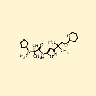 CN(C1CCCC1)C(C)(C)C(=O)Nc1cc(C(C)(C)COC2CCCCO2)no1